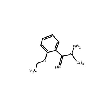 CCOc1ccccc1C(=N)N(C)N